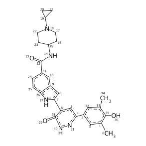 Cc1cc(-c2cc(-c3cc4cc(C(=O)NC5CCN(C6CC6)CC5)ccc4[nH]3)c(=O)[nH]n2)cc(C)c1O